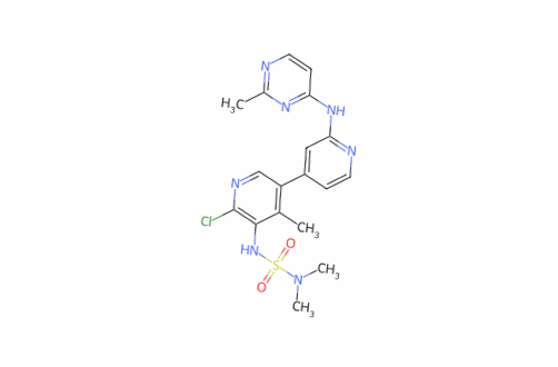 Cc1nccc(Nc2cc(-c3cnc(Cl)c(NS(=O)(=O)N(C)C)c3C)ccn2)n1